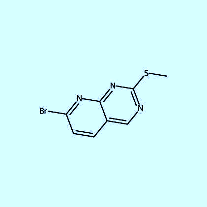 CSc1ncc2ccc(Br)nc2n1